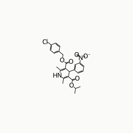 CC1=C(C(=O)OCc2ccc(Cl)cc2)C(c2cccc([N+](=O)[O-])c2)C(C(=O)OC(C)C)=C(C)N1